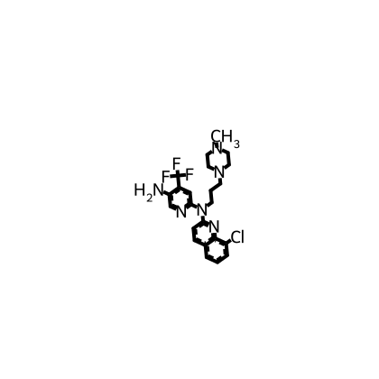 CN1CCN(CCCN(c2cc(C(F)(F)F)c(N)cn2)c2ccc3cccc(Cl)c3n2)CC1